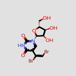 O=c1[nH]c(=O)n([C@@H]2O[C@H](CO)[C@@H](O)[C@H]2O)cc1/C(Br)=C\Br